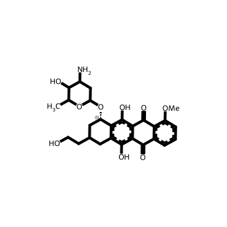 COc1cccc2c1C(=O)c1c(O)c3c(c(O)c1C2=O)CC(CCO)C[C@@H]3OC1CC(N)C(O)C(C)O1